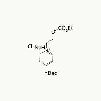 CCCCCCCCCCc1cc[n+](CCOC(=O)OCC)cc1.[Cl-].[NaH]